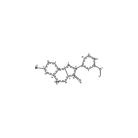 COc1cc(-n2nc3c4ccc(Br)cc4[nH]cc-3c2=O)ccn1